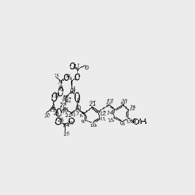 CC(=O)OC[C@H]1O[C@@H](c2cccc(Cc3ccc(O)cc3)c2)[C@H](OC(C)=O)[C@@H](OC(C)=O)[C@@H]1OC(C)=O